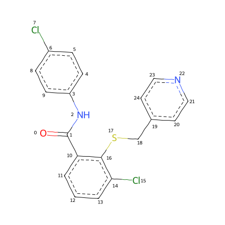 O=C(Nc1ccc(Cl)cc1)c1cccc(Cl)c1SCc1ccncc1